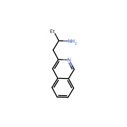 CCC(N)Cc1cc2ccccc2cn1